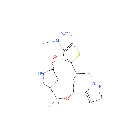 C[C@@H](Oc1cc(-c2cc3c(cnn3C)s2)cn2nccc12)C1CNC(=O)C1